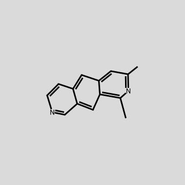 Cc1cc2cc3ccncc3cc2c(C)n1